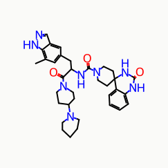 Cc1cc(CC(NC(=O)N2CCC3(CC2)NC(=O)Nc2ccccc23)C(=O)N2CCC(N3CCCCC3)CC2)cc2cn[nH]c12